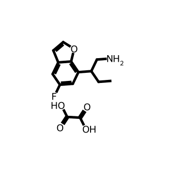 CCC(CN)c1cc(F)cc2ccoc12.O=C(O)C(=O)O